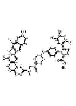 CCNC(=O)c1nnc(-c2cc(C(C)C)c(O)cc2O)n1-c1ccc(OC2CCN(C(=O)CN(C)C(=O)O[C@@H]3C(=O)OCc4c3cc3n(c4=O)Cc4c-3nc3ccc(O)cc3c4CC)CC2)cc1